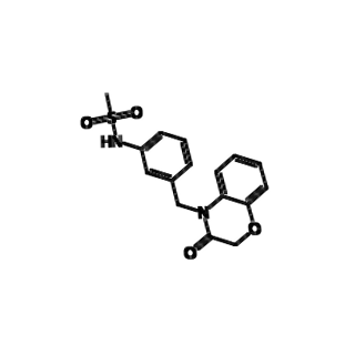 CS(=O)(=O)Nc1cccc(CN2C(=O)COc3ccccc32)c1